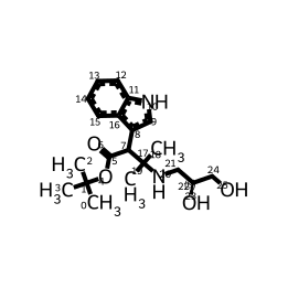 CC(C)(C)OC(=O)C(c1c[nH]c2ccccc12)C(C)(C)NC[C@H](O)CO